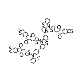 Cc1cc2cc3c(cc2s1)C(=O)/C(=C/c1ccc(N2c4cc(-c5ccc6c(c5)C(C)(C)c5ccccc5N6c5ccc(/C=C6\C(=O)c7cc8ccsc8cc7C6=O)s5)ccc4Sc4ccc(-c5ccc6c(n5)N(c5ccc(C=C7C(=O)c8cc9cscc9cc8C7=O)s5)c5ccccc5S6)cc42)s1)C3=O